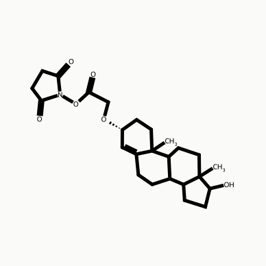 CC12CC[C@@H](OCC(=O)ON3C(=O)CCC3=O)C=C1CCC1C2CCC2(C)C(O)CCC12